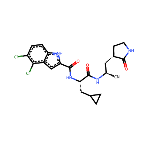 N#C[C@H](C[C@@H]1CCNC1=O)NC(=O)[C@H](CC1CC1)NC(=O)c1cc2c(Cl)c(Cl)ccc2[nH]1